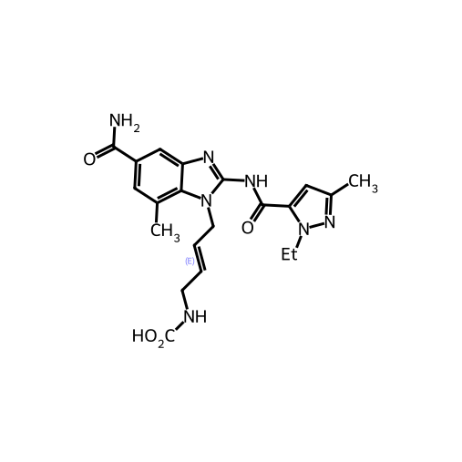 CCn1nc(C)cc1C(=O)Nc1nc2cc(C(N)=O)cc(C)c2n1C/C=C/CNC(=O)O